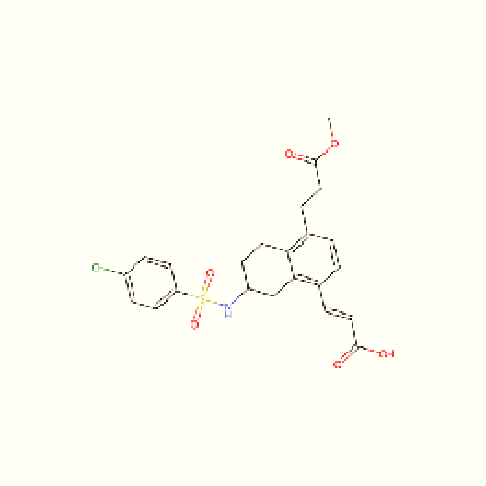 COC(=O)CCc1ccc(/C=C/C(=O)O)c2c1CCC(NS(=O)(=O)c1ccc(Cl)cc1)C2